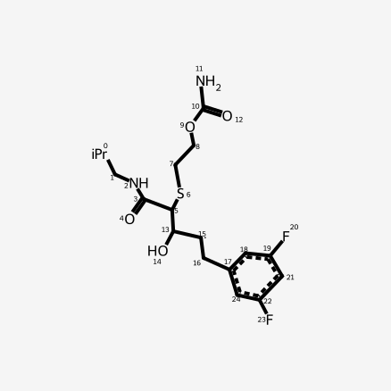 CC(C)CNC(=O)C(SCCOC(N)=O)C(O)[CH]Cc1cc(F)cc(F)c1